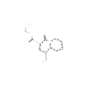 CCOC(=O)c1cc(CCl)c2ccccn2c1=O